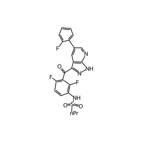 CCCS(=O)(=O)Nc1ccc(F)c(C(=O)c2n[nH]c3ncc(-c4ccccc4F)cc23)c1F